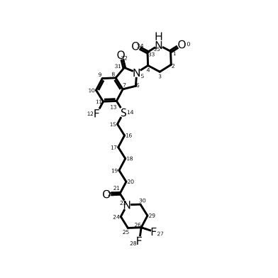 O=C1CCC(N2Cc3c(ccc(F)c3SCCCCCCC(=O)N3CCC(F)(F)CC3)C2=O)C(=O)N1